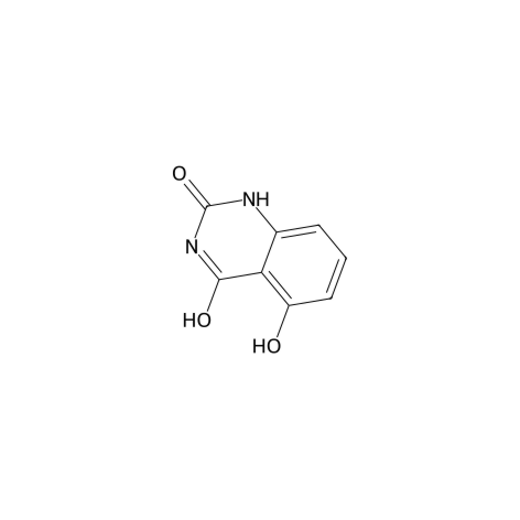 O=c1nc(O)c2c(O)cccc2[nH]1